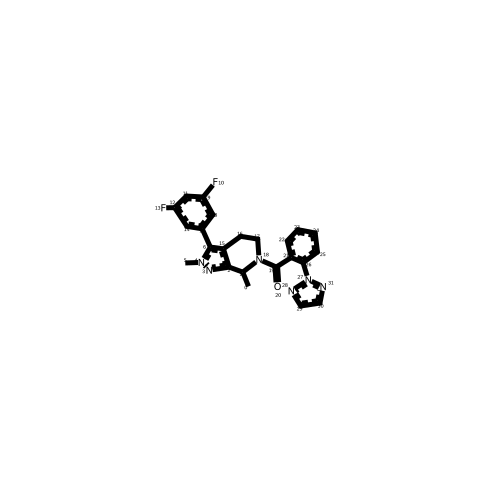 CC1c2nn(C)c(-c3cc(F)cc(F)c3)c2CCN1C(=O)c1ccccc1-n1nccn1